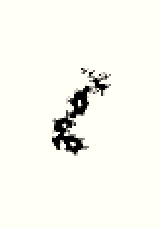 CC(NCc1ccc(-c2nc3ccc(C4(c5ccccc5)CC4)nc3s2)c(F)c1)C(=O)OC(C)(C)C